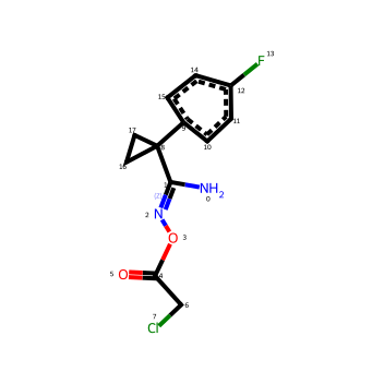 N/C(=N\OC(=O)CCl)C1(c2ccc(F)cc2)CC1